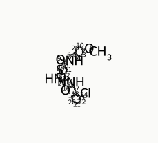 COc1ccc(CNC(=O)c2cc3c(NC(=O)Cc4ccccc4Cl)n[nH]c3s2)cc1